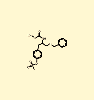 CC(C)(C)OC(=O)NC(COCc1ccccc1)Cc1ccc(OS(C)(=O)=O)cc1